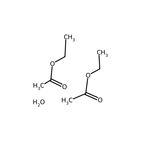 CCOC(C)=O.CCOC(C)=O.O